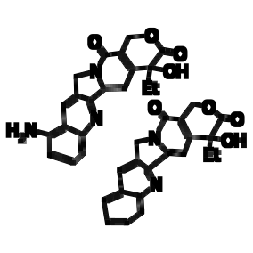 CCC1(O)C(=O)OCc2c1cc1n(c2=O)Cc2cc3c(N)cccc3nc2-1.CCC1(O)C(=O)OCc2c1cc1n(c2=O)Cc2cc3ccccc3nc2-1